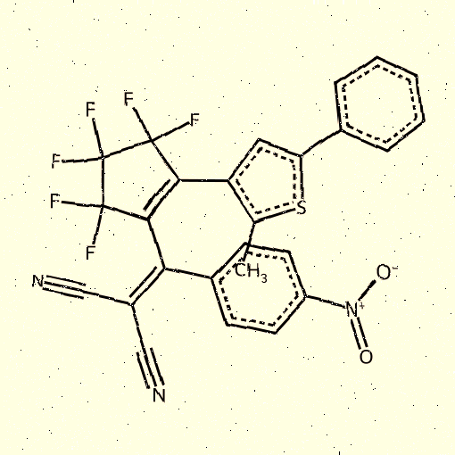 Cc1sc(-c2ccccc2)cc1C1=C(C(=C(C#N)C#N)c2ccc([N+](=O)[O-])cc2)C(F)(F)C(F)(F)C1(F)F